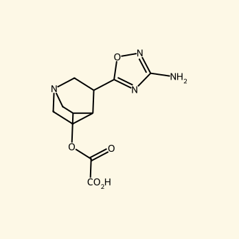 Nc1noc(C2CN3CCC2C(OC(=O)C(=O)O)C3)n1